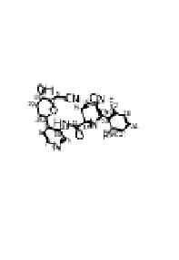 N#CC[C@H]1OC(c2ccncc2NC(=O)c2ccc(C#N)c(-c3c(F)cccc3F)n2)=CC[C@@H]1O